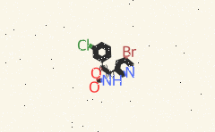 O=C1N[C@H](c2cncc(Br)c2)[C@@H](c2cccc(Cl)c2)O1